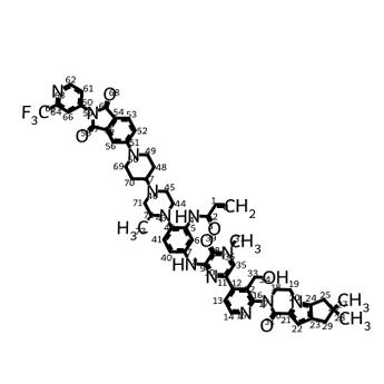 C=CC(=O)Nc1cc(Nc2nc(-c3ccnc(N4CCn5c(cc6c5CC(C)(C)C6)C4=O)c3CO)cn(C)c2=O)ccc1N1CCN(C2CCN(c3ccc4c(c3)C(=O)N(c3ccnc(C(F)(F)F)c3)C4=O)CC2)C[C@@H]1C